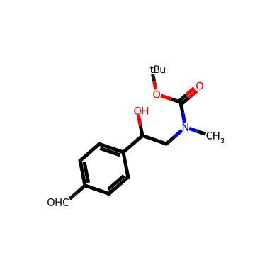 CN(CC(O)c1ccc(C=O)cc1)C(=O)OC(C)(C)C